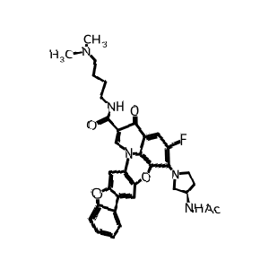 CC(=O)N[C@@H]1CCN(c2c(F)cc3c(=O)c(C(=O)NCCCCN(C)C)cn4c3c2Oc2cc3c(cc2-4)oc2ccccc23)C1